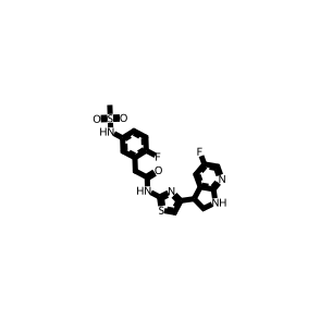 CS(=O)(=O)Nc1ccc(F)c(CC(=O)Nc2nc(C3CNc4ncc(F)cc43)cs2)c1